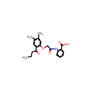 CCCC(=O)c1cc(C)c(C)cc1OCC(=O)Nc1ccccc1C(=O)O